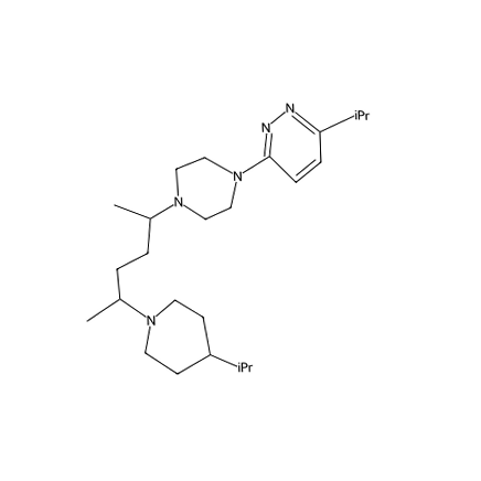 CC(C)c1ccc(N2CCN(C(C)CCC(C)N3CCC(C(C)C)CC3)CC2)nn1